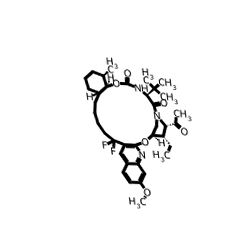 CC[C@@H]1[C@@H]2CN(C(=O)[C@H](C(C)(C)C)NC(=O)O[C@H]3[C@H](CCCCC(F)(F)c4cc5ccc(OC)cc5nc4O2)CCC[C@H]3C)[C@@H]1C(C)=O